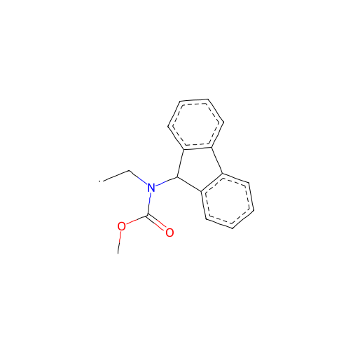 [CH2]CN(C(=O)OC)C1c2ccccc2-c2ccccc21